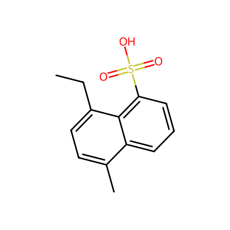 CCc1ccc(C)c2cccc(S(=O)(=O)O)c12